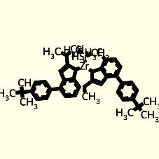 CCC1=Cc2c(-c3ccc(C(C)(C)C)cc3)ccc(C)c2[CH]1[Zr]([CH]1C(C(C)C)=Cc2c(-c3ccc(C(C)(C)C)cc3)cccc21)[SiH](C)C